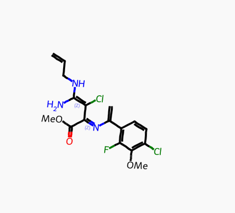 C=CCN/C(N)=C(Cl)/C(=N\C(=C)c1ccc(Cl)c(OC)c1F)C(=O)OC